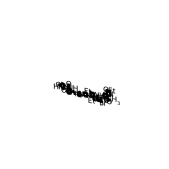 CCOc1cc(N2CCC(N3CCN(CCc4cccc5c4[nH]c(=O)n5C4CCC(=O)NC4=O)CC3)CC2)c(CC)cc1Nc1ncc(Br)c(Nc2ccc3c(=O)n(CC)ncc3c2P(C)(C)=O)n1